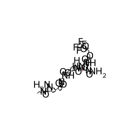 CCCN(CCC)C(=O)C1=Cc2ccc(-c3cccc(S(=O)(=O)N4CC(CNC(=O)OCc5ccc(NC(=O)[C@H](CCCNC(N)=O)NC(=O)CNC(=O)CC(C)(C)OCCC(C)(C)C(=O)Oc6c(F)c(F)cc(F)c6F)cc5)C4)c3)cc2N=C(N)C1